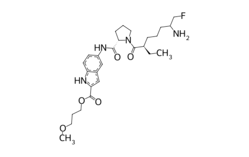 CC[C@H](CCCC(N)CF)C(=O)N1CCC[C@H]1C(=O)Nc1ccc2[nH]c(C(=O)OCCCOC)cc2c1